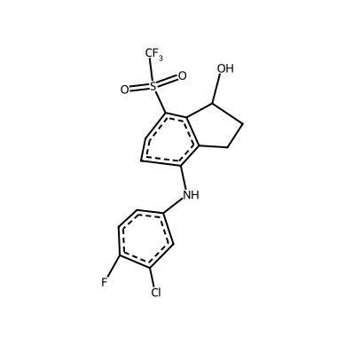 O=S(=O)(c1ccc(Nc2ccc(F)c(Cl)c2)c2c1C(O)CC2)C(F)(F)F